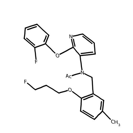 CC(=O)N(Cc1cc(C)ccc1OCCCF)c1cccnc1Oc1ccccc1F